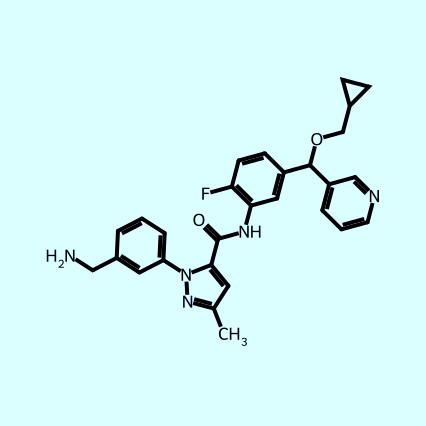 Cc1cc(C(=O)Nc2cc(C(OCC3CC3)c3cccnc3)ccc2F)n(-c2cccc(CN)c2)n1